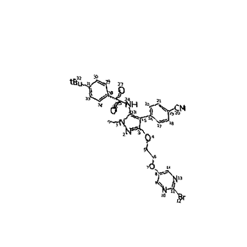 Cn1nc(OCCOc2cnc(Br)nc2)c(-c2ccc(C#N)cc2)c1NS(=O)(=O)c1ccc(C(C)(C)C)cc1